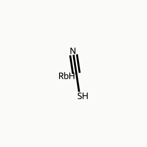 N#CS.[RbH]